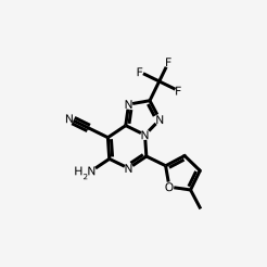 Cc1ccc(-c2nc(N)c(C#N)c3nc(C(F)(F)F)nn23)o1